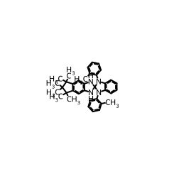 Cc1ccccc1N1c2ccccc2N(c2ccccc2C)C12Nc1cc3c(cc1N2)C(C)(C)C(C)(C)C3(C)C